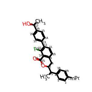 CCCc1ccc(C(C)C2Cc3ccc(-c4ccc(C(C)O)cc4)c(F)c3C(=O)O2)cc1